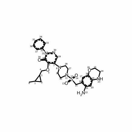 CC1CC1COc1c(N2CCN(S(=O)(=O)Cc3cc4c(cc3N)NCCO4)CC2)cnn(-c2ccccc2)c1=O